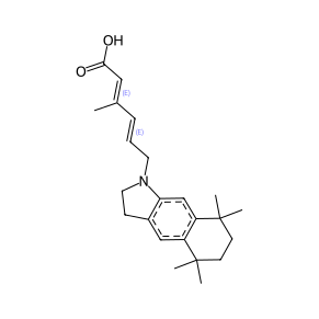 CC(/C=C/CN1CCc2cc3c(cc21)C(C)(C)CCC3(C)C)=C\C(=O)O